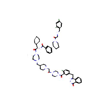 C[C@@H]1CN(CC2CCN(CC(=O)N3CCN(C(=O)c4cc(Cc5n[nH]c(=O)c6ccccc56)ccc4F)CC3)CC2)C[C@@H](C)N1C(=O)[C@H](NC(=O)c1cccc([C@@H]2CCCN(C(=O)CNCc3ccc(F)cc3F)C2)c1)C1CCCCC1